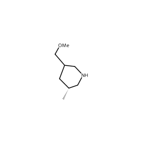 COCC1CNC[C@H](C)C1